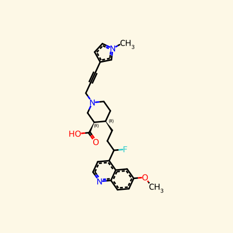 COc1ccc2nccc(C(F)CC[C@@H]3CCN(CC#Cc4ccn(C)c4)C[C@@H]3C(=O)O)c2c1